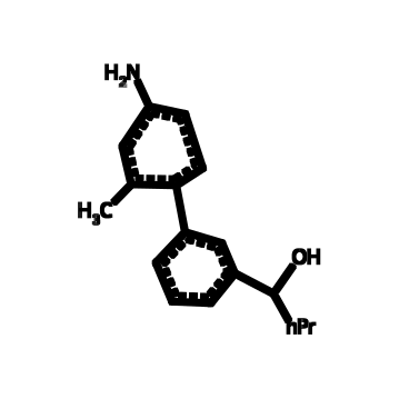 CCCC(O)c1cccc(-c2ccc(N)cc2C)c1